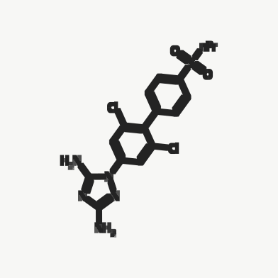 CCCS(=O)(=O)c1ccc(-c2c(Cl)cc(-n3nc(N)nc3N)cc2Cl)cc1